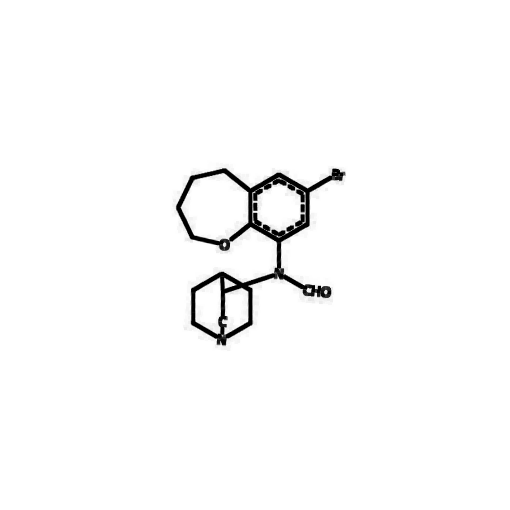 O=CN(c1cc(Br)cc2c1OCCCC2)C1CN2CCC1CC2